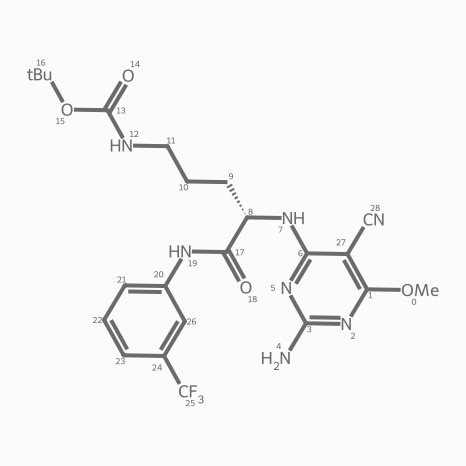 COc1nc(N)nc(N[C@@H](CCCNC(=O)OC(C)(C)C)C(=O)Nc2cccc(C(F)(F)F)c2)c1C#N